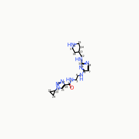 O=C(NCCNc1ccnc(NCC2CCNCC2)n1)c1cn(C2CC2)nn1